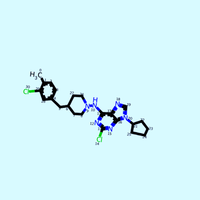 Cc1ccc(CC2CCN(Nc3nc(Cl)nc4c3ncn4C3CCCC3)CC2)cc1Cl